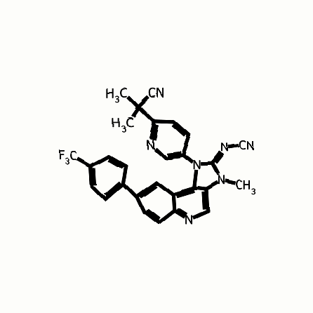 Cn1c(=NC#N)n(-c2ccc(C(C)(C)C#N)nc2)c2c3cc(-c4ccc(C(F)(F)F)cc4)ccc3ncc21